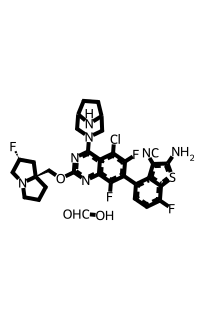 N#Cc1c(N)sc2c(F)ccc(-c3c(F)c(Cl)c4c(N5CC6CCC(C5)N6)nc(OC[C@@]56CCCN5C[C@H](F)C6)nc4c3F)c12.O=CO